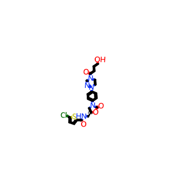 O=C(NC[C@H]1CN(c2ccc(N3CCN(C(=O)CCCO)C=N3)cc2)C(=O)O1)c1ccc(Cl)s1